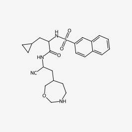 N#CC(CC1CCNCOC1)NC(=O)C(CC1CC1)NS(=O)(=O)c1ccc2ccccc2c1